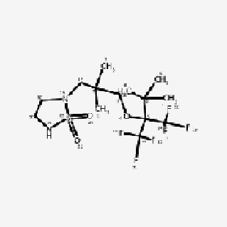 CC(C)(COC(C(C)(C)C)(C(F)(F)F)C(F)(F)F)CN1CCNS1(=O)=O